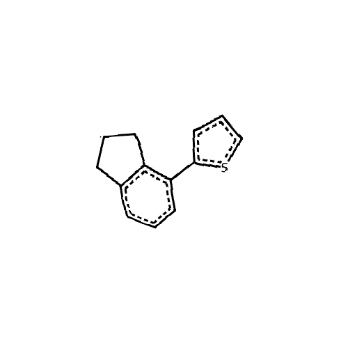 [CH]1Cc2cccc(-c3cccs3)c2C1